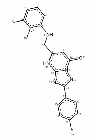 Cc1cccc(NCc2cc(=O)n3nc(-c4ccc(F)cc4)nc3[nH]2)c1C